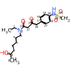 CCN(CCCCCC(C)O)C(=O)CC(=O)Cc1ccc(NS(C)(=O)=O)cc1